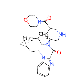 CC(C)CN(C(=O)c1nc2ccccc2n1CCC1CC1)[C@@H]1CNC[C@H](C(=O)N2CCOCC2)C1